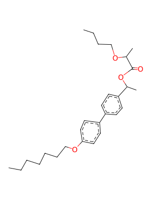 CCCCCCCOc1ccc(-c2ccc(C(C)OC(=O)C(C)OCCCC)cc2)cc1